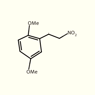 COc1ccc(OC)c([CH]C[N+](=O)[O-])c1